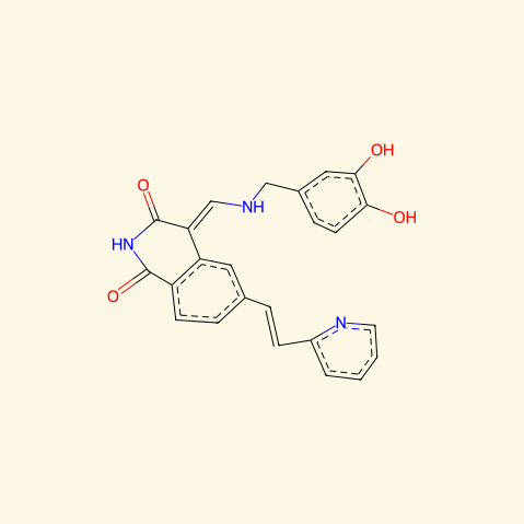 O=C1NC(=O)c2ccc(/C=C/c3ccccn3)cc2/C1=C\NCc1ccc(O)c(O)c1